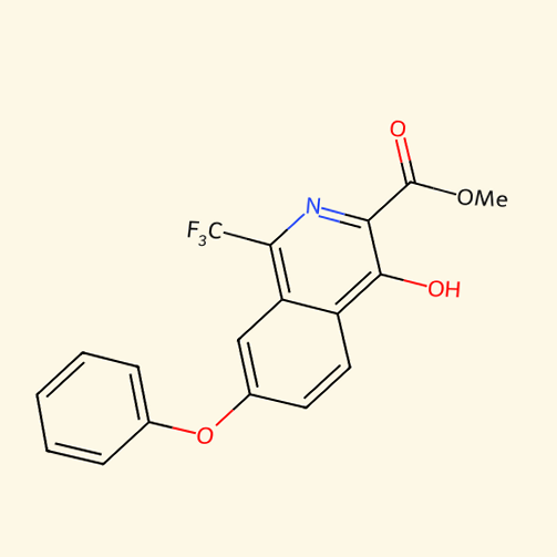 COC(=O)c1nc(C(F)(F)F)c2cc(Oc3ccccc3)ccc2c1O